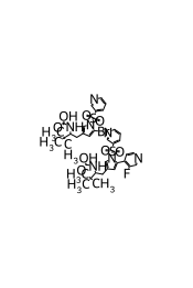 CC(C)(C)C(Cc1cc(-c2ccncc2F)n(S(=O)(=O)c2cccnc2)c1)NC(=O)O.CC(C)(C)C(Cc1cc(Br)n(S(=O)(=O)c2cccnc2)c1)NC(=O)O